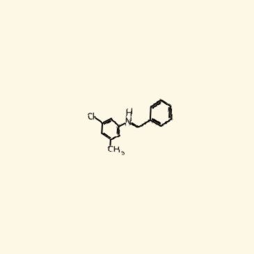 Cc1cc(Cl)cc(NCc2ccccc2)c1